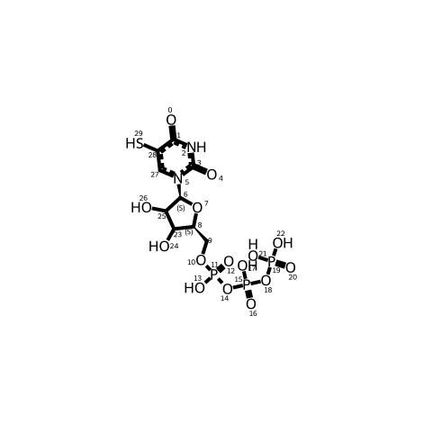 O=c1[nH]c(=O)n([C@H]2O[C@@H](COP(=O)(O)OP(=O)(O)OP(=O)(O)O)C(O)C2O)cc1S